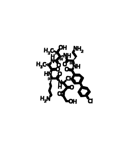 C[C@H](NC(=O)[C@@H](NC(=O)[C@H](CCN)NC(=O)c1ccc(-c2ccc(Cl)cc2)cc1)[C@@H](C)O)C(=O)N[C@@H](CCCCN)C(=O)N[C@@H](C)C(=O)C1OC1CO